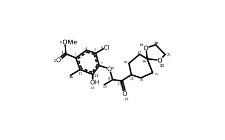 COC(=O)c1cc(Cl)c(OC(C)C(=O)C2CCC3(CC2)OCCO3)c(O)c1C